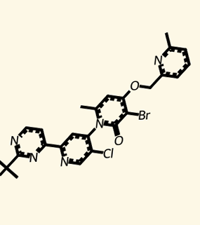 Cc1cccc(COc2cc(C)n(-c3cc(-c4ccnc(C(C)(C)O)n4)ncc3Cl)c(=O)c2Br)n1